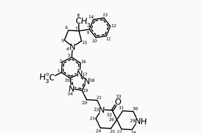 Cc1cc(N2CCC(C)(c3ccccc3)C2)cn2nc(CCN3CCCC4(CCNCC4)C3=O)nc12